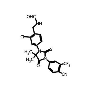 CC1(C)C(=O)N(c2ccc(C#N)c(C(F)(F)F)c2)C(=S)N1c1ccc(CNC=O)c(Cl)c1